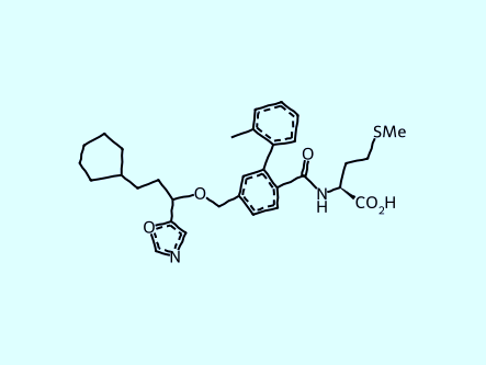 CSCC[C@H](NC(=O)c1ccc(COC(CCC2CCCCC2)c2cnco2)cc1-c1ccccc1C)C(=O)O